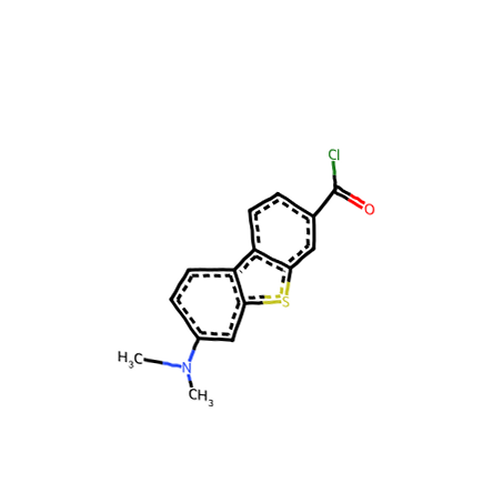 CN(C)c1ccc2c(c1)sc1cc(C(=O)Cl)ccc12